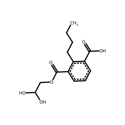 CCCCc1c(C(=O)O)cccc1C(=O)OCC(O)O